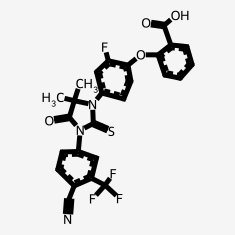 CC1(C)C(=O)N(c2ccc(C#N)c(C(F)(F)F)c2)C(=S)N1c1ccc(Oc2ccccc2C(=O)O)c(F)c1